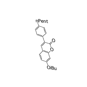 CCCCCc1ccc(-c2cc3ccc(OCC(C)C)cc3oc2=O)cc1